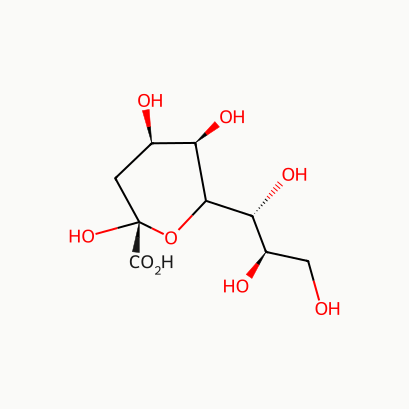 O=C(O)[C@@]1(O)C[C@@H](O)[C@@H](O)C([C@H](O)[C@H](O)CO)O1